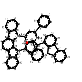 c1ccc(-c2cc(-n3c4ccccc4c4ccc5c6ccccc6n(-c6ccc(-c7cccc8c7Cc7ccccc7-8)cc6)c5c43)nc(-c3ccccc3)n2)cc1